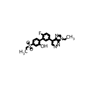 CCn1cnc2c(-c3ccc(F)c(-c4ccc(S(=O)(=O)CC)cc4O)c3)cnnc21